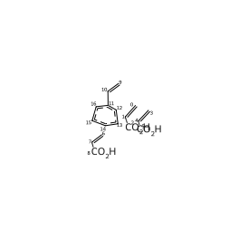 C=CC(=O)O.C=CC(=O)O.C=CC(=O)O.C=Cc1ccccc1